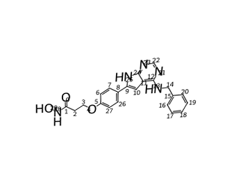 O=C(CCOc1ccc(-c2cc3c(NCc4ccccc4)ncnc3[nH]2)cc1)NO